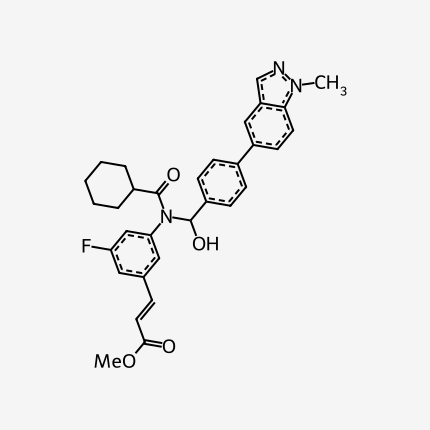 COC(=O)/C=C/c1cc(F)cc(N(C(=O)C2CCCCC2)C(O)c2ccc(-c3ccc4c(cnn4C)c3)cc2)c1